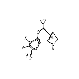 Cc1ccc(OC(C2CC2)[C@H]2CCNC2)c(F)c1F